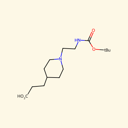 CC(C)(C)OC(=O)NCCN1CCC(CCC(=O)O)CC1